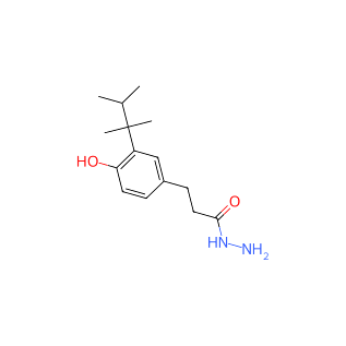 CC(C)C(C)(C)c1cc(CCC(=O)NN)ccc1O